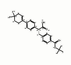 CC(C)(C)OC(=O)c1ccc(C[C@@H](C(=O)O)c2ccc(C3=CCC(F)(F)CC3)cc2)cc1